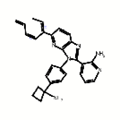 C=C/C=C\C(=C/C)c1ccc2nc(-c3cccnc3N)n(-c3ccc(C4(N)CCC4)cc3)c2n1